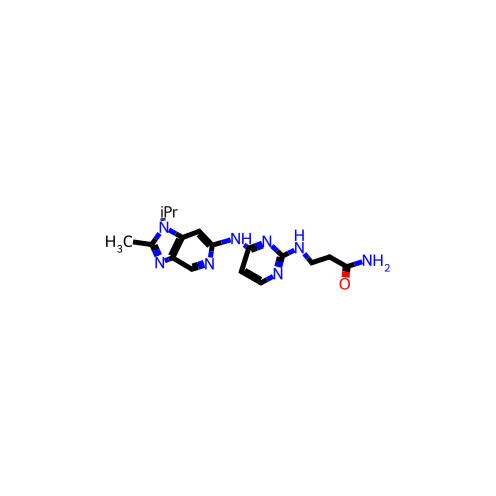 Cc1nc2cnc(Nc3ccnc(NCCC(N)=O)n3)cc2n1C(C)C